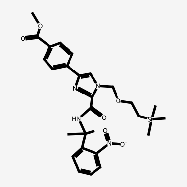 COC(=O)c1ccc(-c2cn(COCC[Si](C)(C)C)c(C(=O)NC(C)(C)c3ccccc3[N+](=O)[O-])n2)cc1